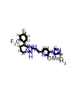 COc1nc(/C=C/C2NC3[C@@H](c4ccc(F)cc4C(F)(F)F)CCCN3N2)ccc1-n1cnc(C)c1